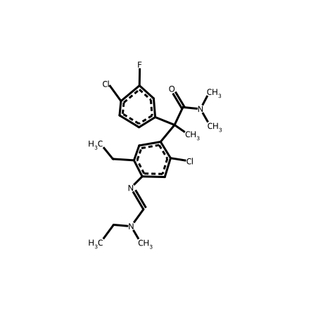 CCc1cc(C(C)(C(=O)N(C)C)c2ccc(Cl)c(F)c2)c(Cl)cc1N=CN(C)CC